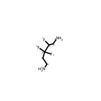 NCCC(F)(F)C(F)CN